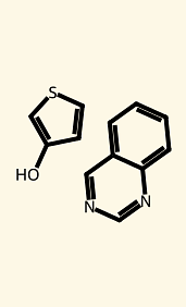 Oc1ccsc1.c1ccc2ncncc2c1